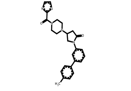 Cc1ccc(-c2cccc(N3CC(N4CCN(C(=O)c5nccs5)CC4)CC3=O)c2)cc1